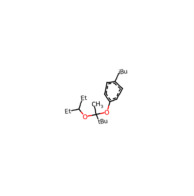 CCC(CC)OC(C)(Oc1ccc(C(C)CC)cc1)C(C)(C)C